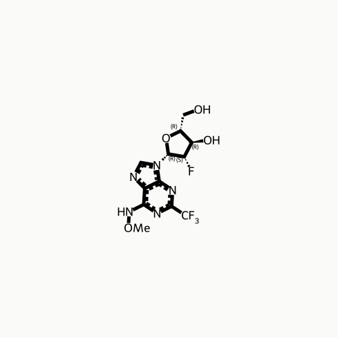 CONc1nc(C(F)(F)F)nc2c1ncn2[C@@H]1O[C@H](CO)[C@@H](O)[C@@H]1F